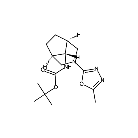 Cc1nnc(N2C[C@H]3CC[C@@H](C2)[C@@H]3NC(=O)OC(C)(C)C)o1